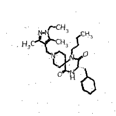 CCCCN1C(=O)[C@H](CC2CCCCC2)NC(=O)C12CCN(Cc1c(C)nn(CC)c1C)CC2